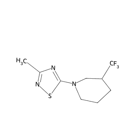 Cc1nsc(N2CCCC(C(F)(F)F)C2)n1